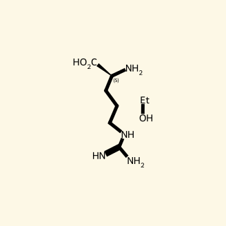 CCO.N=C(N)NCCC[C@H](N)C(=O)O